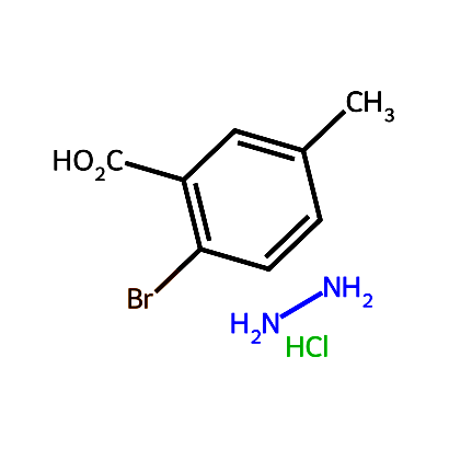 Cc1ccc(Br)c(C(=O)O)c1.Cl.NN